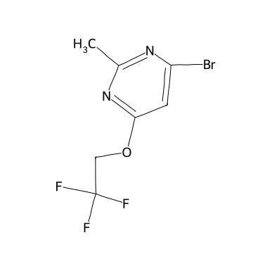 Cc1nc(Br)cc(OCC(F)(F)F)n1